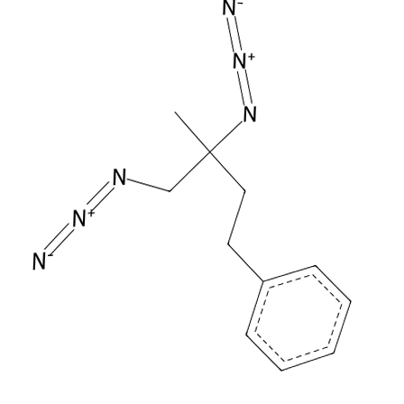 CC(CCc1ccccc1)(CN=[N+]=[N-])N=[N+]=[N-]